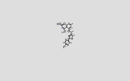 CO/C(=C/C(=O)O)c1ccccc1OCc1csc(-c2ccc(F)cc2)n1